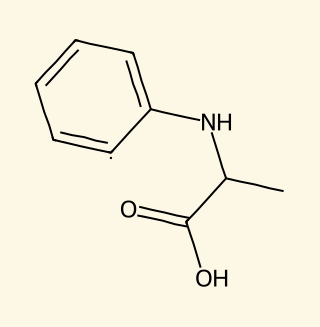 CC(Nc1[c]cccc1)C(=O)O